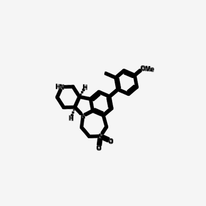 COc1ccc(-c2cc3c4c(c2)[C@@H]2CNCC[C@@H]2N4CCS(=O)(=O)C3)c(C)c1